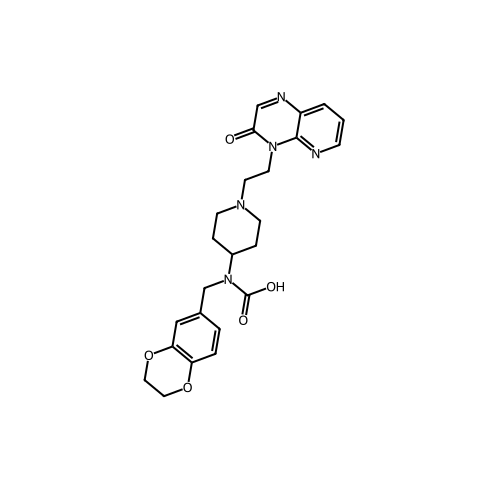 O=C(O)N(Cc1ccc2c(c1)OCCO2)C1CCN(CCn2c(=O)cnc3cccnc32)CC1